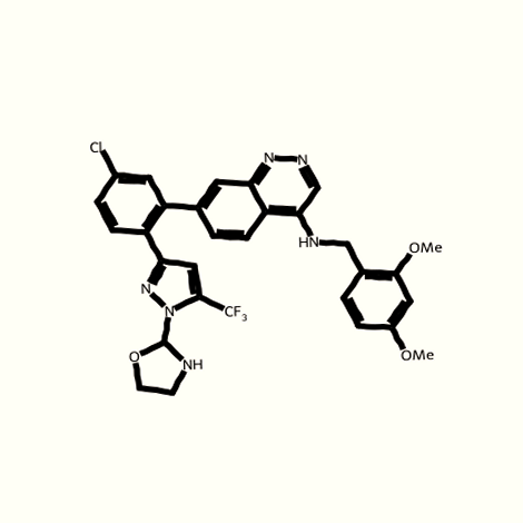 COc1ccc(CNc2cnnc3cc(-c4cc(Cl)ccc4-c4cc(C(F)(F)F)n(C5NCCO5)n4)ccc23)c(OC)c1